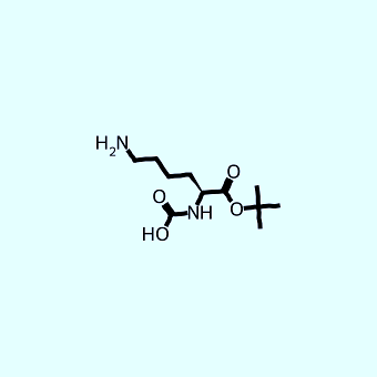 CC(C)(C)OC(=O)[C@H](CCCCN)NC(=O)O